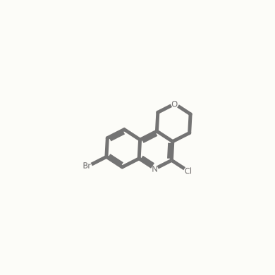 Clc1nc2cc(Br)ccc2c2c1CCOC2